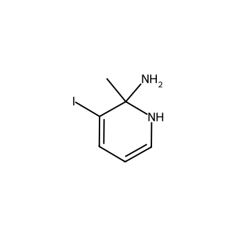 CC1(N)NC=CC=C1I